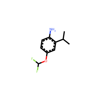 CC(C)c1cc(OC(F)F)ccc1N